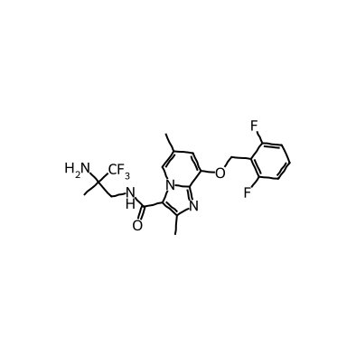 Cc1cc(OCc2c(F)cccc2F)c2nc(C)c(C(=O)NCC(C)(N)C(F)(F)F)n2c1